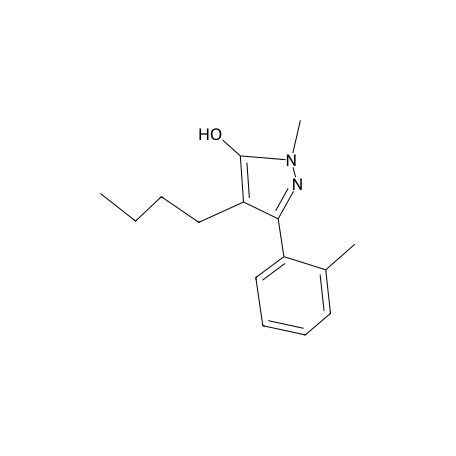 CCCCc1c(-c2ccccc2C)nn(C)c1O